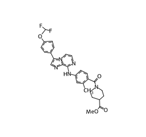 COC(=O)C1CCN(C(=O)c2ccc(Nc3nccn4c(-c5ccc(OC(F)F)cc5)cnc34)cc2C)CC1